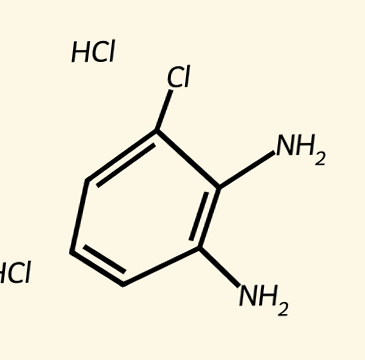 Cl.Cl.Nc1cccc(Cl)c1N